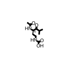 CC(=O)N[C@H](CCNC(=O)O)C(=O)C(C)C